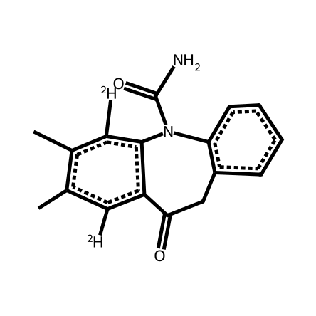 [2H]c1c(C)c(C)c([2H])c2c1C(=O)Cc1ccccc1N2C(N)=O